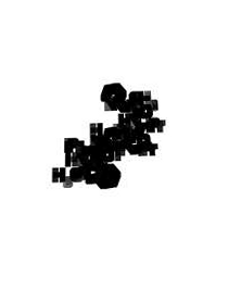 CC(C)C[C@H](NC(=O)[C@@H](NC(=O)N(C)Cc1ccccn1)C(C)C)[C@@H](O)C(F)(F)[C@H](CC(C)C)NC(=O)[C@@H](NC(=O)N(C)Cc1ccccn1)C(C)C